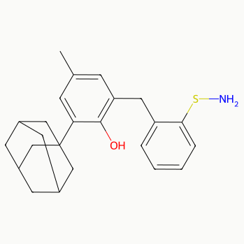 Cc1cc(Cc2ccccc2SN)c(O)c(C23CC4CC(CC(C4)C2)C3)c1